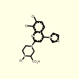 CCN1CCN(c2cc(-n3ccnc3)c3ccc(Cl)c(Cl)c3n2)CC1C(=O)O